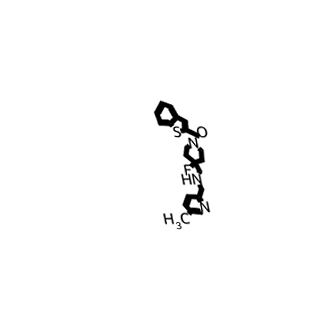 Cc1ccc(CNCC2(F)CCN(C(=O)c3cc4ccccc4s3)CC2)nc1